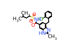 Cc1nc2c(Cc3ccccc3Cl)cc(C(=O)NS(=O)(=O)CCC(C)C)cc2[nH]1